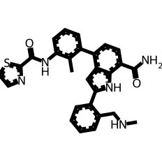 CNCc1ccccc1-c1cc2c(-c3cccc(NC(=O)c4nccs4)c3C)ccc(C(N)=O)c2[nH]1